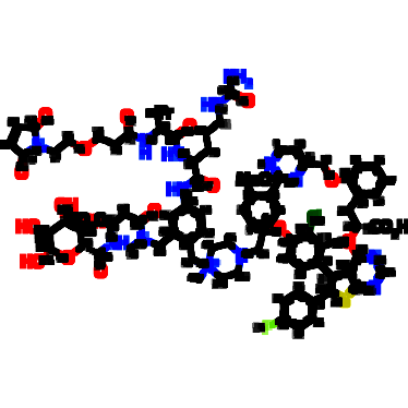 COc1ccccc1-c1nccc(COc2ccccc2C[C@@H](Oc2ncnc3sc(-c4ccc(F)cc4)c(-c4ccc(OCCN5CC[N+](C)(Cc6ccc(NC(=O)C(CCCNC(N)=O)NC(=O)C(NC(=O)CCOCCN7C(=O)C=CC7=O)C(C)C)cc6CN(C)C(=O)CC(NC(=O)[C@@H]6O[C@H](O)[C@@H](O)[C@H](O)[C@H]6O)C(=O)O)CC5)c(Cl)c4C)c23)C(=O)O)n1